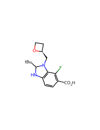 CC(C)(C)C1Nc2ccc(C(=O)O)c(F)c2N1C[C@@H]1CCO1